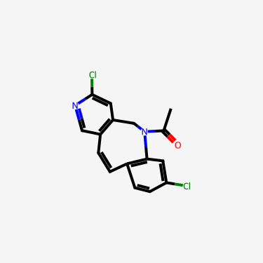 CC(=O)N1Cc2cc(Cl)ncc2C=Cc2ccc(Cl)cc21